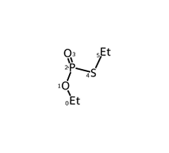 CCO[P](=O)SCC